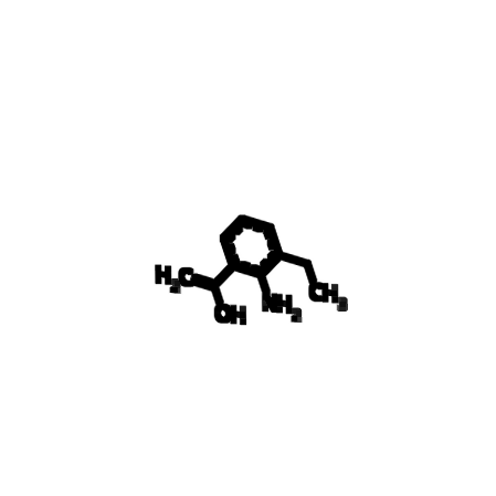 C=C(O)c1cccc(CC)c1N